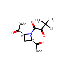 CCC(C)(C)C(=O)C(=O)N1[C@@H](C(=O)OC)C[C@@H]1C(=O)OC